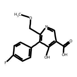 COCc1ncc(C(=O)O)c(O)c1-c1ccc(F)cc1